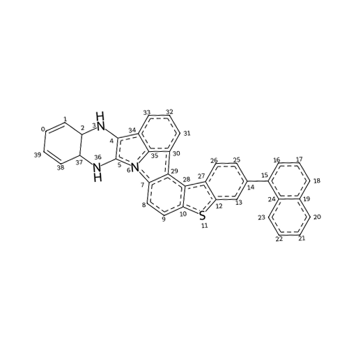 C1=CC2Nc3c(n4c5ccc6sc7cc(-c8cccc9ccccc89)ccc7c6c5c5cccc3c54)NC2C=C1